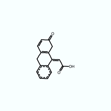 O=C(O)C=C1C2=C(C=CC(=O)C2)Cc2ccccc21